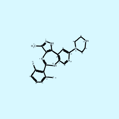 Cc1n[nH]c2c1N=C(c1c(F)cccc1F)Nc1cnc(N3CCNCC3)cc1-2